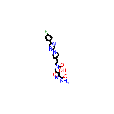 NC(=O)c1cc(CN(CCC2CCN(c3cnc(-c4ccc(F)cc4)cn3)CC2)C(=O)O)on1